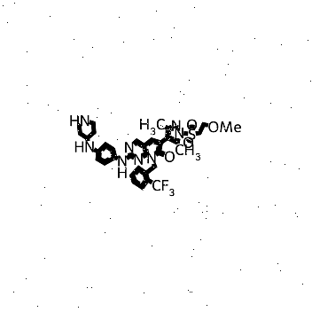 COCCS(=O)(=O)n1nc(C)c(-c2cc3cnc(Nc4ccc(NC5CCNCC5)cc4)nc3n(Cc3ccccc3C(F)(F)F)c2=O)c1C